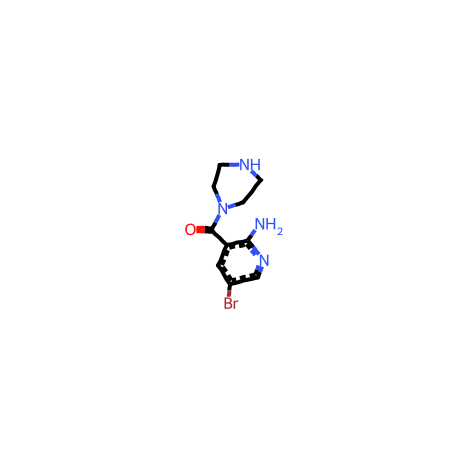 Nc1ncc(Br)cc1C(=O)N1CCNCC1